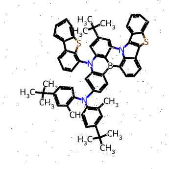 Cc1cc(C(C)(C)C)ccc1N(c1ccc2c(c1)N(c1cccc3c1sc1ccccc13)c1cc(C(C)(C)C)cc3c1B2c1cccc2c4sc5ccccc5c4n-3c12)c1ccc(C(C)(C)C)cc1C